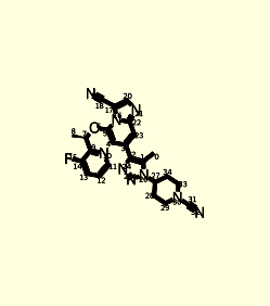 Cc1c(-c2cc(O[C@H](C)c3ncccc3F)n3c(C#N)cnc3c2)nnn1C1CCN(C#N)CC1